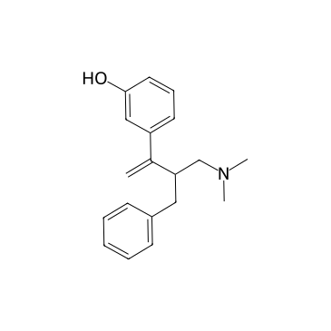 C=C(c1cccc(O)c1)C(Cc1ccccc1)CN(C)C